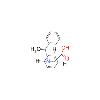 C[C@@H](c1ccccc1)N1[C@H]2C=C[C@H](CC2)[C@@H]1C(=O)O